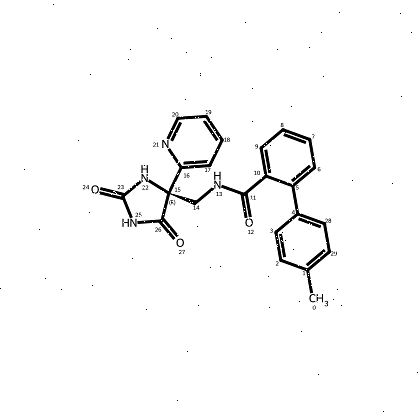 Cc1ccc(-c2ccccc2C(=O)NC[C@]2(c3ccccn3)NC(=O)NC2=O)cc1